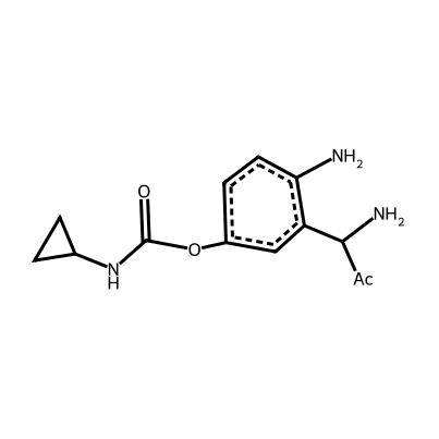 CC(=O)C(N)c1cc(OC(=O)NC2CC2)ccc1N